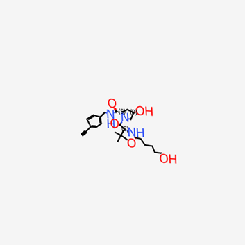 C#Cc1ccc(CNC(=O)[C@@H]2C[C@@H](O)CN2C(=O)[C@@H](NC(=O)CCCCCO)C(C)(C)C)cc1